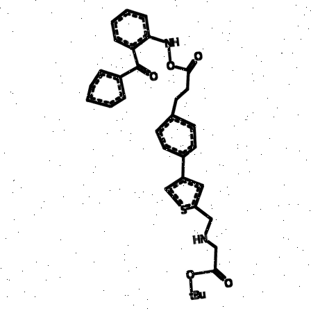 CC(C)(C)OC(=O)CNCc1cc(-c2ccc(CCC(=O)ONc3ccccc3C(=O)c3ccccc3)cc2)cs1